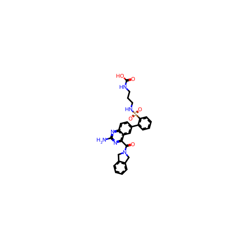 Nc1nc(C(=O)N2Cc3ccccc3C2)c2cc(-c3ccccc3S(=O)(=O)NCCCNC(=O)O)ccc2n1